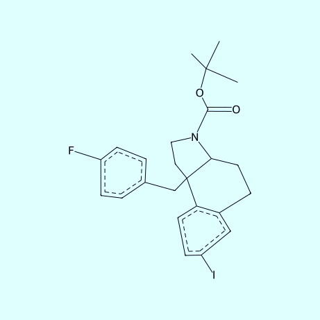 CC(C)(C)OC(=O)N1CCC2(Cc3ccc(F)cc3)c3ccc(I)cc3CCC12